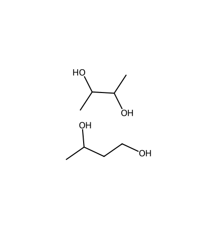 CC(O)C(C)O.CC(O)CCO